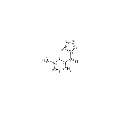 CC(CN(C)C)C(=O)c1ccco1